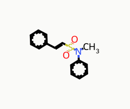 CN(c1ccccc1)S(=O)(=O)C=Cc1ccccc1